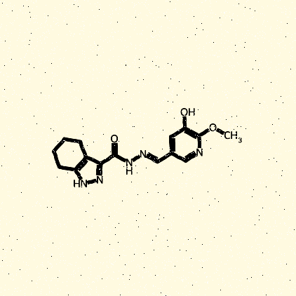 COc1ncc(C=NNC(=O)c2n[nH]c3c2CCCC3)cc1O